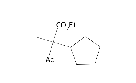 CCOC(=O)C(C)(C(C)=O)C1CCCC1C